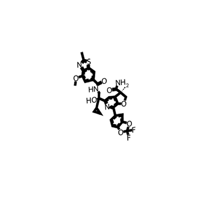 COc1cc(C(=O)NC[C@](O)(c2cc3c(c(-c4ccc5c(c4)OC(F)(F)O5)n2)OC[C@]3(C)C(N)=O)C2CC2)cc2sc(C)nc12